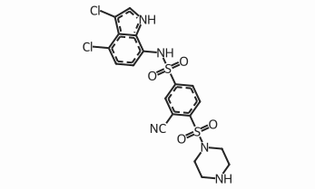 N#Cc1cc(S(=O)(=O)Nc2ccc(Cl)c3c(Cl)c[nH]c23)ccc1S(=O)(=O)N1CCNCC1